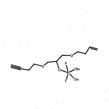 C#CCCOCC(COCCC=C)OP(O)(O)(F)F